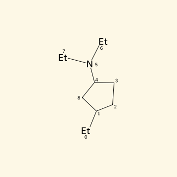 CCC1CCC(N(CC)CC)C1